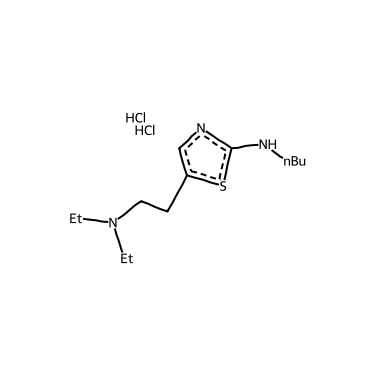 CCCCNc1ncc(CCN(CC)CC)s1.Cl.Cl